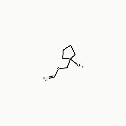 C=COCC1(C)CCCC1